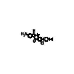 CC1(C)c2cc(N3CCN(C4CC4)CC3)c(Cl)cc2C(=O)c2c1[nH]c1cc(N)ccc21